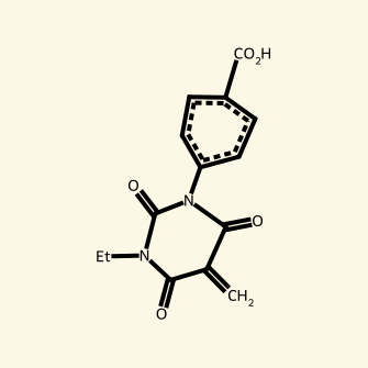 C=C1C(=O)N(CC)C(=O)N(c2ccc(C(=O)O)cc2)C1=O